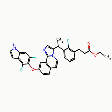 CCOC(=O)CCc1cccc(C(C)c2cnc3c4cc(Oc5c(F)cc6[nH]ccc6c5F)ccc4ccn23)c1F